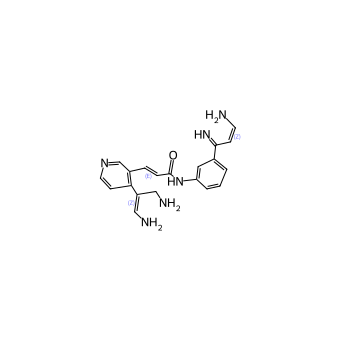 N=C(/C=C\N)c1cccc(NC(=O)/C=C/c2cnccc2/C(=C/N)CN)c1